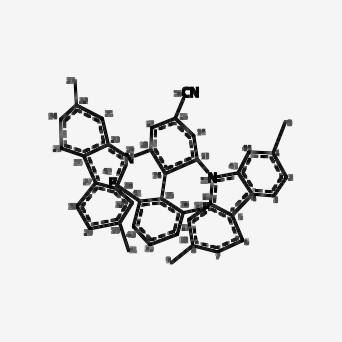 Cc1ccc2c3ccc(C)cc3n(-c3cc(C#N)cc(-n4c5cc(C)ccc5c5ccc(C)cc54)c3-c3c(F)cccc3F)c2c1